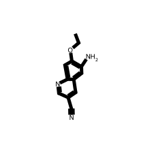 CCOc1cc2ncc(C#N)cc2cc1N